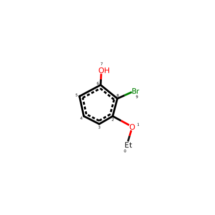 CCOc1cccc(O)c1Br